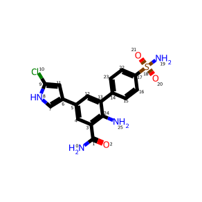 NC(=O)c1cc(-c2c[nH]c(Cl)c2)cc(-c2ccc(S(N)(=O)=O)cc2)c1N